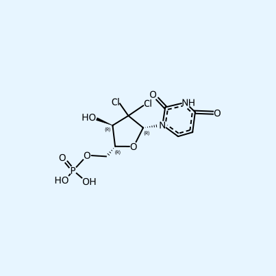 O=c1ccn([C@@H]2O[C@H](COP(=O)(O)O)[C@@H](O)C2(Cl)Cl)c(=O)[nH]1